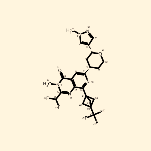 Cn1cc([C@H]2C[C@@H](c3cc4c(=O)n(C)c(C(F)F)nc4c(C45CC(C(F)(F)F)(C4)C5)n3)CCO2)cn1